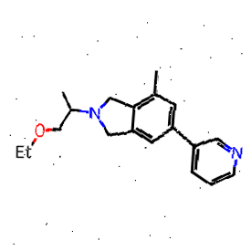 CCOCC(C)N1Cc2cc(-c3cccnc3)cc(C)c2C1